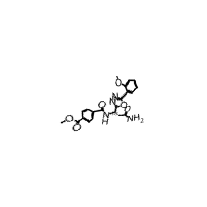 COC(=O)c1ccc(C(=O)N[C@@H](CC(N)=O)c2nnc(-c3ccccc3OC)o2)cc1